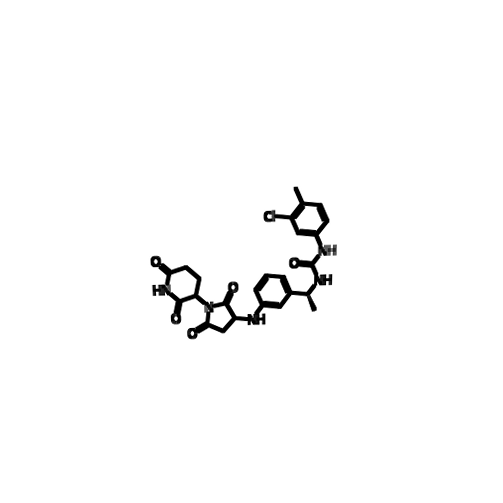 Cc1ccc(NC(=O)N[C@@H](C)c2cccc(NC3CC(=O)N(C4CCC(=O)NC4=O)C3=O)c2)cc1Cl